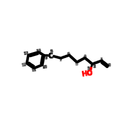 C=C[C@@H](O)CCCCCc1ccccc1